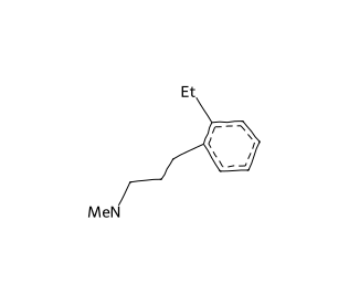 CCc1ccccc1CCCNC